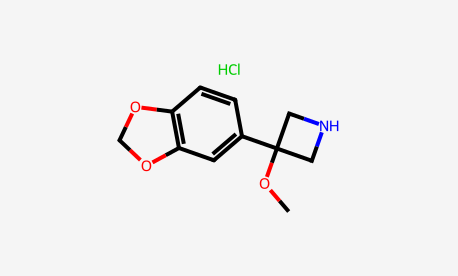 COC1(c2ccc3c(c2)OCO3)CNC1.Cl